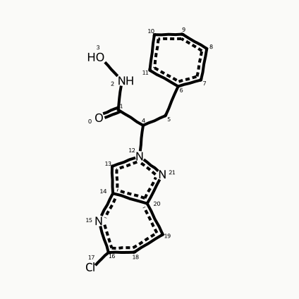 O=C(NO)C(Cc1ccccc1)n1cc2nc(Cl)ccc2n1